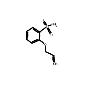 C=CCOc1ccccc1S(N)(=O)=O